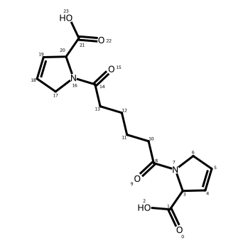 O=C(O)C1C=CCN1C(=O)CCCCC(=O)N1CC=CC1C(=O)O